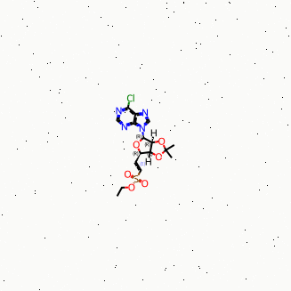 CCOS(=O)(=O)/C=C/[C@H]1O[C@@H](n2cnc3c(Cl)ncnc32)[C@@H]2OC(C)(C)O[C@@H]21